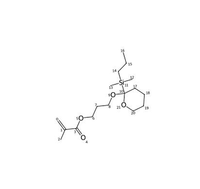 C=C(C)C(=O)OCCCOC1([Si](C)(C)CCC)CCCCO1